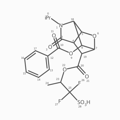 CC(C)N1C(=O)C2C3OC(C(OC(=O)c4ccccc4)C31)C2C(=O)OC(C)C(F)(F)S(=O)(=O)O